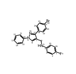 Fc1ccc(NCc2cn(-c3ccccc3)nc2-c2ccc(Br)cc2)cc1